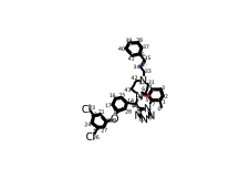 Cc1cccc(C)c1-n1nnnc1[C@@H](c1cccc(Oc2cc(Cl)cc(Cl)c2)c1)N1CCN(C/C=C/c2ccccc2)CC1